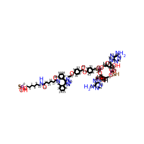 CP(O)(=S)OCCCCCCNC(=O)CCCCC(=O)N1Cc2ccccc2-c2nnn(CCOc3ccc(C(=O)Oc4ccc(CS[P@]5(=O)OC[C@H]6O[C@@H](n7cnc8c(N)ncnc87)[C@H](O)[C@@H]6O[P@](=O)(S)OC[C@H]6O[C@@H](n7cnc8c(N)ncnc87)[C@H](O5)[C@@H]6O)cc4)cc3)c2-c2ccccc21